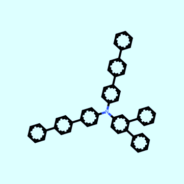 c1ccc(-c2ccc(-c3ccc(N(c4ccc(-c5ccc(-c6ccccc6)cc5)cc4)c4ccc(-c5ccccc5)c(-c5ccccc5)c4)cc3)cc2)cc1